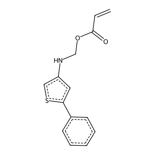 C=CC(=O)OCNc1csc(-c2ccccc2)c1